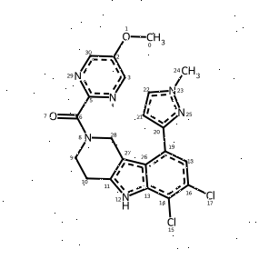 COc1cnc(C(=O)N2CCc3[nH]c4c(Cl)c(Cl)cc(-c5ccn(C)n5)c4c3C2)nc1